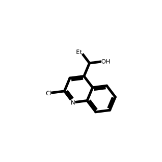 CCC(O)c1cc(Cl)nc2ccccc12